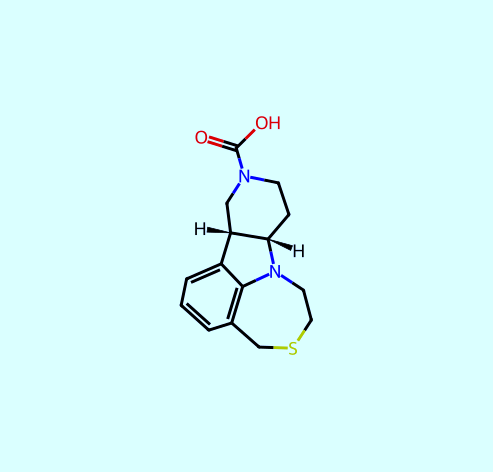 O=C(O)N1CC[C@H]2[C@@H](C1)c1cccc3c1N2CCSC3